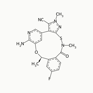 C[C@H]1Oc2cc(cnc2N)-c2c(nn(C)c2C#N)SN(C)C(=O)c2ccc(F)cc21